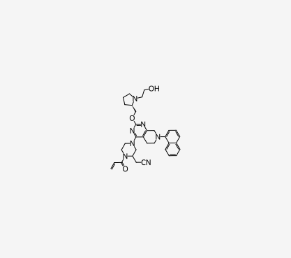 C=CC(=O)N1CCN(c2nc(OC[C@H]3CCCN3CCO)nc3c2CCN(c2cccc4ccccc24)C3)CC1CC#N